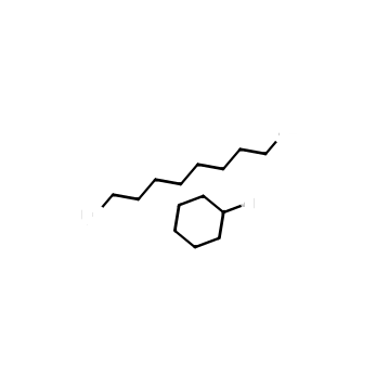 ClC1[CH]CCCC1.[CH2]CCCCCCCCC